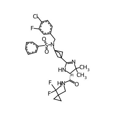 CC1(C)N=C(C23CC(N(Cc4ccc(Cl)c(F)c4)S(=O)(=O)c4ccccc4)(C2)C3)N[C@H]1C(=O)NCC1(C(F)(F)F)CC1